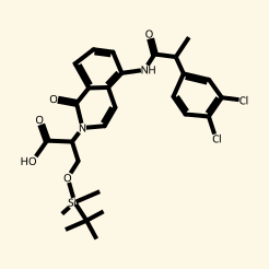 CC(C(=O)Nc1cccc2c(=O)n(C(CO[Si](C)(C)C(C)(C)C)C(=O)O)ccc12)c1ccc(Cl)c(Cl)c1